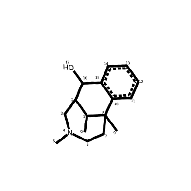 CC1C2CN(C)CCC1(C)c1ccccc1C2O